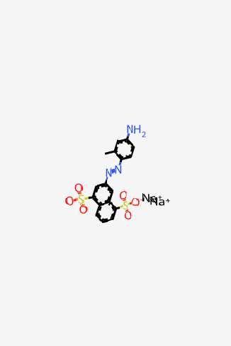 Cc1cc(N)ccc1N=Nc1cc(S(=O)(=O)[O-])c2cccc(S(=O)(=O)[O-])c2c1.[Na+].[Na+]